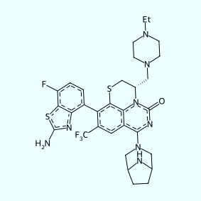 CCN1CCN(C[C@H]2CSc3c(-c4ccc(F)c5sc(N)nc45)c(C(F)(F)F)cc4c(N5CC6CCC(C5)N6)nc(=O)n2c34)CC1